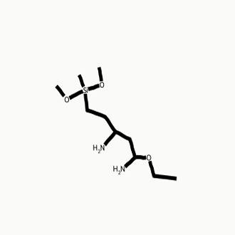 CCOC(N)CC(N)CC[Si](C)(OC)OC